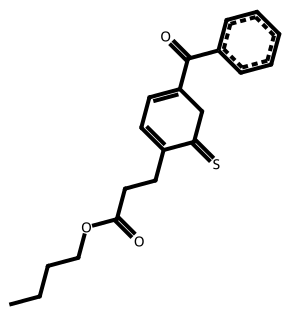 CCCCOC(=O)CCC1=CC=C(C(=O)c2ccccc2)CC1=S